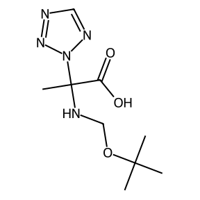 CC(C)(C)OCNC(C)(C(=O)O)n1ncnn1